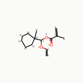 C=COC(OC(=O)C(=C)C)C1(C)CCCCC1